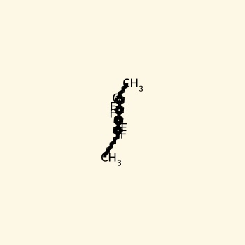 CCCCCCCCCc1ccc(-c2ccc(-c3ccc(C4CCC(CCCCC)OC4)c(F)c3F)cc2)c(F)c1F